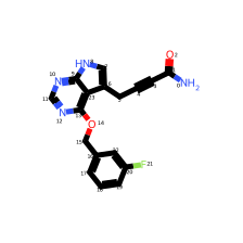 NC(=O)C#CCc1c[nH]c2ncnc(OCc3cccc(F)c3)c12